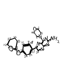 Nc1nc(N2CCOCC2)c2nc(-c3ccc(OC4CCCCO4)cc3)cnc2n1